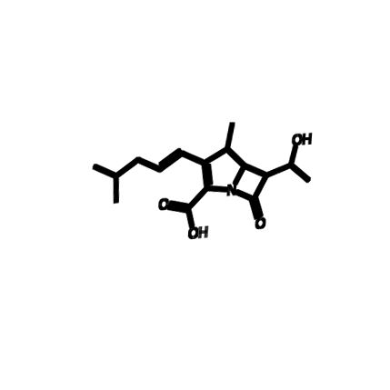 CC(C)C/C=C/C1=C(C(=O)O)N2C(=O)C(C(C)O)C2C1C